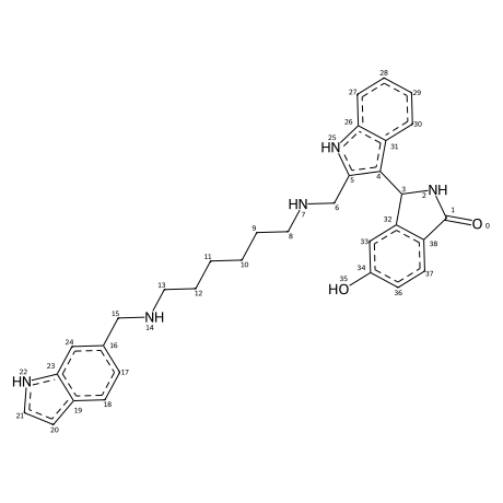 O=C1NC(c2c(CNCCCCCCNCc3ccc4cc[nH]c4c3)[nH]c3ccccc23)c2cc(O)ccc21